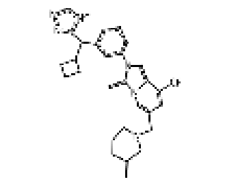 C=C1N2C=C(CN3CCCC(C)C3)C=C(C(F)(F)F)C2=CN1c1cccc(C(c2nncn2C)C2CCC2)c1